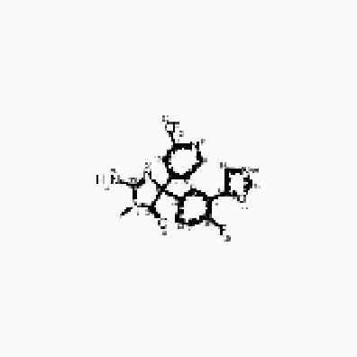 CN1C(=O)C(c2ccnc(C(F)(F)F)c2)(c2ccc(F)c(-c3cnco3)c2)N=C1N